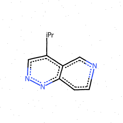 CC(C)c1cnnc2ccncc12